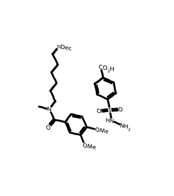 CCCCCCCCCCCCCCCCN(C)C(=O)c1ccc(OC)c(OC)c1.NNS(=O)(=O)c1ccc(C(=O)O)cc1